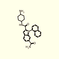 NC(=O)c1ccc2cc(C(=O)NC3CCC(N)CC3)n(-c3cccc4ccccc34)c2c1